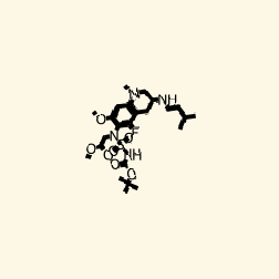 COC(=O)CN(c1c(OC)cc2c(c1F)CC(NCCC(C)C)CN2C)S(=O)(=O)NC(=O)OC(C)(C)C